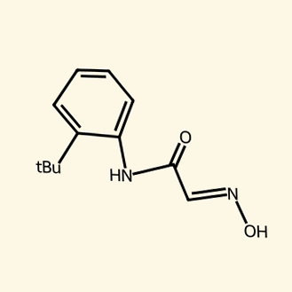 CC(C)(C)c1ccccc1NC(=O)C=NO